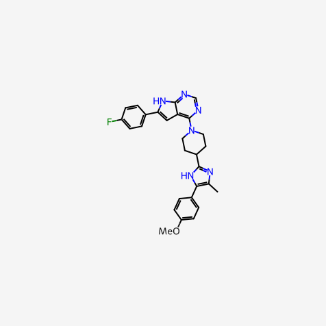 COc1ccc(-c2[nH]c(C3CCN(c4ncnc5[nH]c(-c6ccc(F)cc6)cc45)CC3)nc2C)cc1